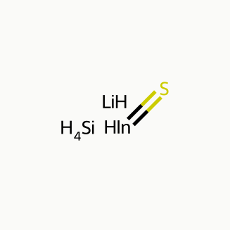 [LiH].[S]=[InH].[SiH4]